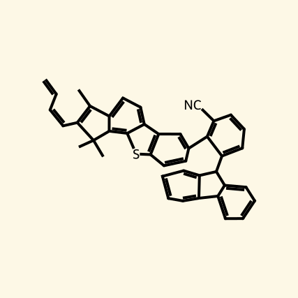 C=C/C=C\C1=C(C)c2ccc3c(sc4ccc(-c5c(C#N)cccc5C5c6ccccc6-c6ccccc65)cc43)c2C1(C)C